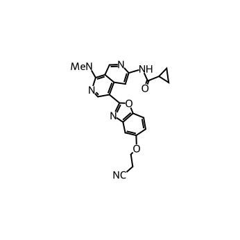 CNc1ncc(-c2nc3cc(OCCC#N)ccc3o2)c2cc(NC(=O)C3CC3)ncc12